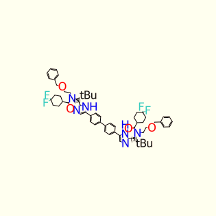 CC(C)(C)[C@@H](c1ncc(-c2ccc(-c3ccc(-c4cnc([C@@H](N(CCOCc5ccccc5)C(=O)C5CCC(F)(F)CC5)C(C)(C)C)[nH]4)cc3)cc2)[nH]1)N(CCOCc1ccccc1)C(=O)C1CCC(F)(F)CC1